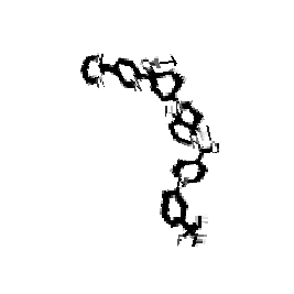 O=C(C1CCN(c2cccc(C(F)(F)F)c2)CC1)N1CC[C@H]2[C@@H]1CCN2C1CCC(O)(c2ccc(-c3ncccn3)cn2)CC1